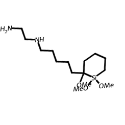 COC1(CCCCCNCCN)CCCC[Si]1(OC)OC